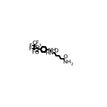 NC(=O)CCCC(=O)NNc1ccc(S(=O)(=O)C(F)(F)C(F)(F)C(F)(F)F)cc1